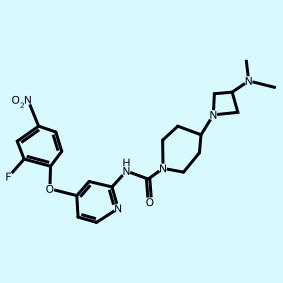 CN(C)C1CN(C2CCN(C(=O)Nc3cc(Oc4ccc([N+](=O)[O-])cc4F)ccn3)CC2)C1